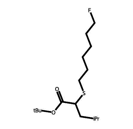 CC(C)CC(SCCCCCCF)C(=O)OC(C)(C)C